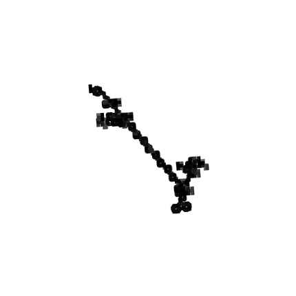 CC(C)(C)OC(=O)NCCCC[C@H](NC(=O)OCC1c2ccccc2-c2ccccc21)C(=O)NCCOCCOCCOCCOCCOCCOCCOCCOCCC(=O)N[C@@H](CCCCNC(=O)CCCc1ccc(I)cc1)C(=O)OC(C)(C)C